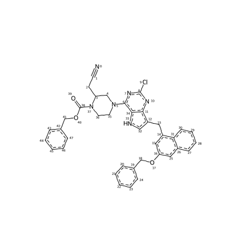 N#CCC1CN(c2nc(Cl)nc3c(Cc4cc(OCc5ccccc5)cc5ccccc45)c[nH]c23)CCN1C(=O)OCc1ccccc1